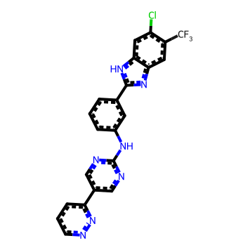 FC(F)(F)c1cc2nc(-c3cccc(Nc4ncc(-c5cccnn5)cn4)c3)[nH]c2cc1Cl